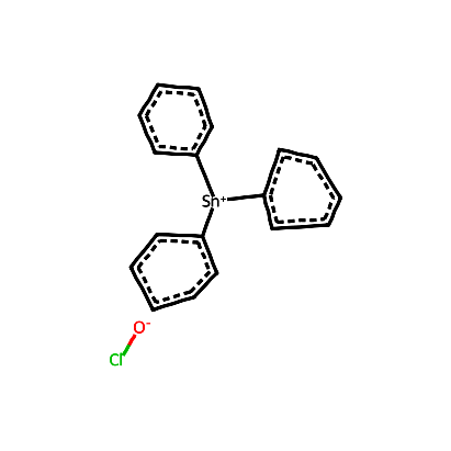 [O-]Cl.c1cc[c]([Sn+]([c]2ccccc2)[c]2ccccc2)cc1